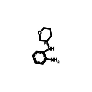 Nc1ccccc1N[C@@H]1CCCOC1